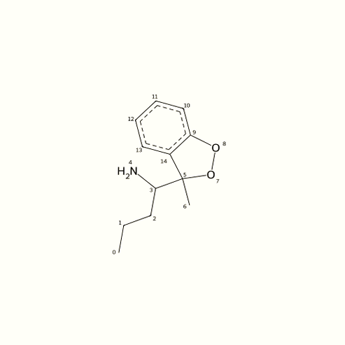 CCCC(N)C1(C)OOc2ccccc21